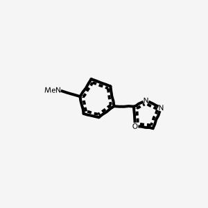 [CH2]Nc1ccc(-c2nnco2)cc1